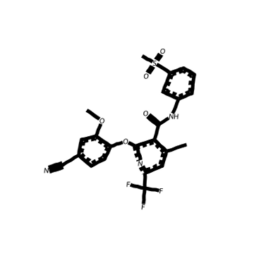 COc1cc(C#N)ccc1Oc1nc(C(F)(F)F)cc(C)c1C(=O)Nc1cccc(S(C)(=O)=O)c1